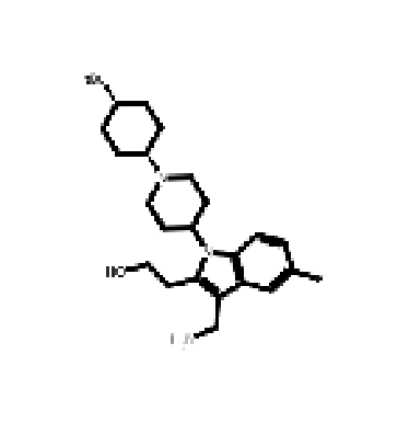 CC(C)(C)[C@H]1CC[C@@H](N2CCC(n3c(CCO)c(CN)c4cc(F)ccc43)CC2)CC1